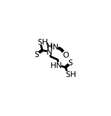 N=C=O.S=C(S)NCCNC(=S)S